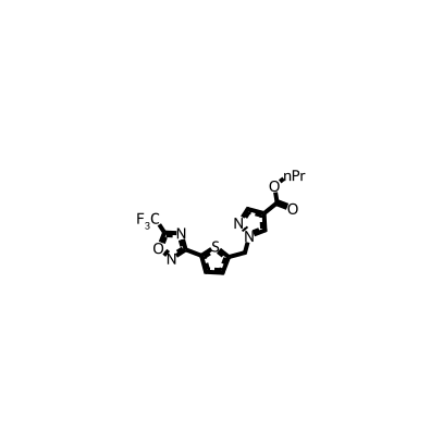 CCCOC(=O)c1cnn(Cc2ccc(-c3noc(C(F)(F)F)n3)s2)c1